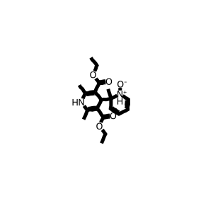 CCOC(=O)C1=C(C)NC(C)=C(C(=O)OCC)C1C1(C)C=CC=C[NH+]1[O-]